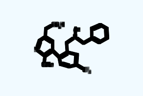 COc1ncc(CC(=O)O)cc1-c1ccc(C(F)(F)F)cc1CN(Cc1ccccc1)C(C)=O